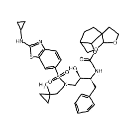 CC1(CN(C[C@@H](O)[C@H](Cc2ccccc2)NC(=O)OC2C3CCC4C(OC3)OCC42)S(=O)(=O)c2ccc3nc(NC4CC4)sc3c2)CC1